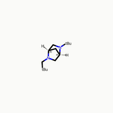 CC(C)(C)CN1C[C@H]2C[C@@H]1CN2C(C)(C)C